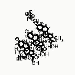 CO.C[C@@H]1CC2C3CCC4=CC(=O)C=C[C@]4(C)[C@@]3(F)[C@@H](O)C[C@]2(C)[C@@]1(O)C(=O)CO.C[C@@H]1CC2C3CCC4=CC(=O)C=C[C@]4(C)[C@@]3(F)[C@@H](O)C[C@]2(C)[C@@]1(O)C(=O)CO.C[C@@H]1CC2[C@H]3CCC4=CC(=O)C=C[C@]4(C)[C@@]3(F)[C@@H](O)C[C@]2(C)[C@@]1(O)C(=O)CO.O=P([O-])([O-])[O-].[Na+].[Na+].[Na+]